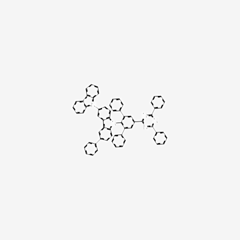 c1ccc(-c2ccc3c(c2)c2cc(-n4c5ccccc5c5ccccc54)ccc2n3-c2c(-c3ccccc3)cc(-c3nc(-c4ccccc4)nc(-c4ccccc4)n3)cc2-c2ccccc2)cc1